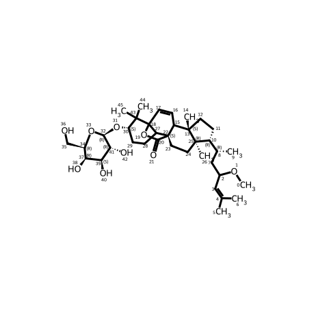 COC(C=C(C)C)C[C@@H](C)[C@H]1CC[C@@]2(C)C3C=CC45OC(=O)[C@]3(CC[C@]12C)C4CC[C@H](O[C@@H]1O[C@H](CO)[C@H](O)[C@H](O)[C@H]1O)C5(C)C